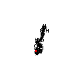 CC(C)(C)[Si](OCc1c(Cl)ccc(-n2cccc2CNC(=O)C=Cc2ccc(C(=O)Nc3ccncc3)cc2)c1Cl)(c1ccccc1)c1ccccc1